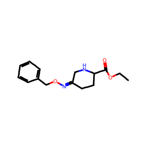 CCOC(=O)C1CCC(=NOCc2ccccc2)CN1